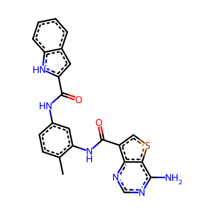 Cc1ccc(NC(=O)c2cc3ccccc3[nH]2)cc1NC(=O)c1csc2c(N)ncnc12